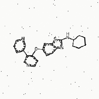 c1cncc(-c2cnccc2Oc2ccc3nc(NC4CCCCC4)sc3c2)c1